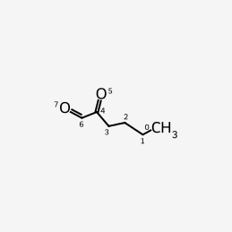 CCCCC(=O)C=O